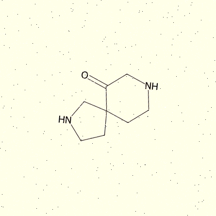 O=C1CNCCC12CCNC2